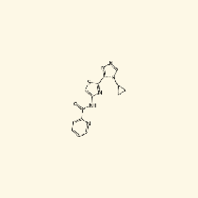 O=C(Nc1csc(-c2nncn2C2CC2)n1)c1ccccn1